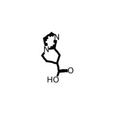 O=C(O)C1CCn2ccnc2C1